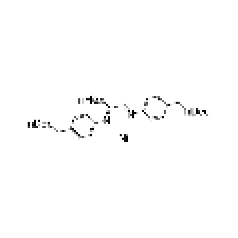 CCCCCCCCCCCc1ccc(N=CC(CCCCCC)=Nc2ccc(CCCCCCCCCCC)cc2)cc1.[Ni]